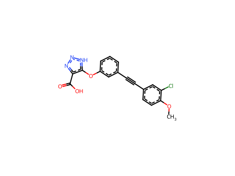 COc1ccc(C#Cc2cccc(Oc3[nH]nnc3C(=O)O)c2)cc1Cl